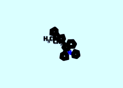 CC1(C)c2ccccc2-c2ccc(-c3cc4c5ccccc5n(-c5ccccc5)c4c4ccccc34)cc21